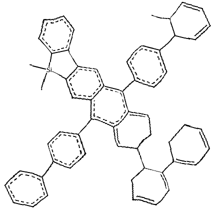 CC1C=CC=CC1c1ccc(-c2c3c(c(-c4ccc(-c5ccccc5)cc4)c4cc5c(cc24)-c2ccccc2[Si]5(C)C)=CC(C2CC=CC=C2C2=CC=CCC2)CC=3)cc1